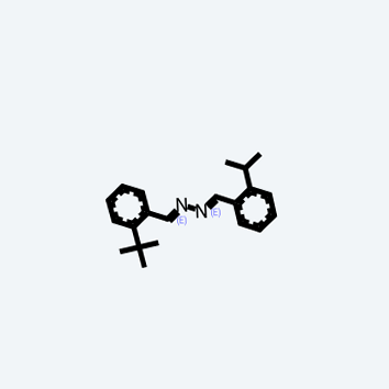 CC(C)c1ccccc1/C=N/N=C/c1ccccc1C(C)(C)C